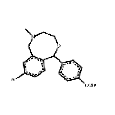 COc1ccc(C2OCCN(C)Cc3cc(Br)ccc32)cc1